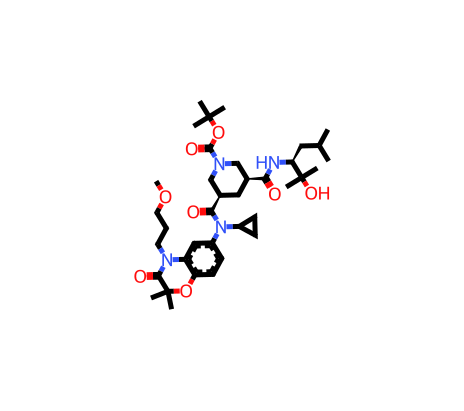 COCCCN1C(=O)C(C)(C)Oc2ccc(N(C(=O)[C@@H]3C[C@H](C(=O)N[C@@H](CC(C)C)C(C)(C)O)CN(C(=O)OC(C)(C)C)C3)C3CC3)cc21